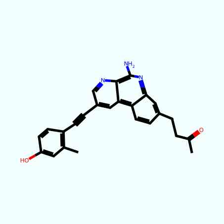 CC(=O)CCc1ccc2c(c1)nc(N)c1ncc(C#Cc3ccc(O)cc3C)cc12